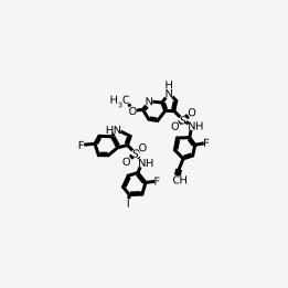 C#Cc1ccc(NS(=O)(=O)c2c[nH]c3nc(OC)ccc23)c(F)c1.O=S(=O)(Nc1ccc(I)cc1F)c1c[nH]c2cc(F)ccc12